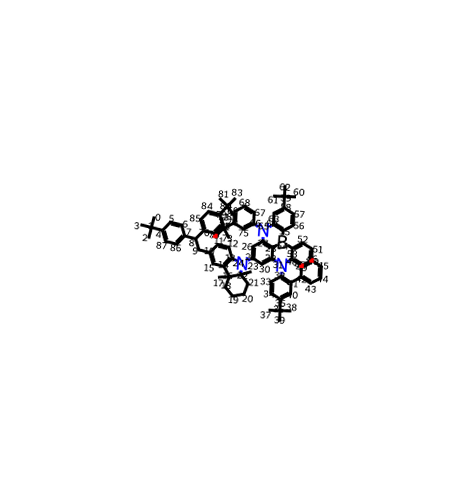 CC(C)(C)c1ccc(C(Cc2ccc3c(c2)C2(C)CCCCC2(C)N3c2cc3c4c(c2)N(c2ccc(C(C)(C)C)cc2-c2ccccc2)c2ccccc2B4c2ccc(C(C)(C)C)cc2N3c2cccc(C(C)(C)C)c2)c2ccc(C(C)(C)C)cc2)cc1